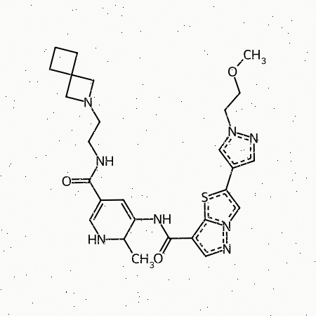 COCCn1cc(-c2cn3ncc(C(=O)NC4=CC(C(=O)NCCN5CC6(CCC6)C5)=CNC4C)c3s2)cn1